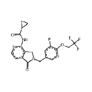 O=C(Nc1nccc2c1CN(Cc1cnc(OCC(F)(F)F)c(F)c1)C2=O)C1CC1